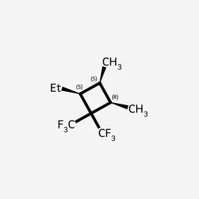 CC[C@H]1[C@@H](C)[C@@H](C)C1(C(F)(F)F)C(F)(F)F